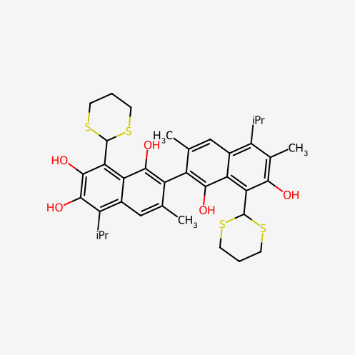 Cc1cc2c(C(C)C)c(C)c(O)c(C3SCCCS3)c2c(O)c1-c1c(C)cc2c(C(C)C)c(O)c(O)c(C3SCCCS3)c2c1O